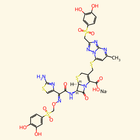 Cc1cc(SCC2=C(C(=O)O)N3C(=O)[C@@H](NC(=O)C(=NOCS(=O)(=O)c4ccc(O)c(O)c4)c4csc(N)n4)[C@H]3SC2)n2nc(CS(=O)(=O)c3ccc(O)c(O)c3)nc2n1.[Na]